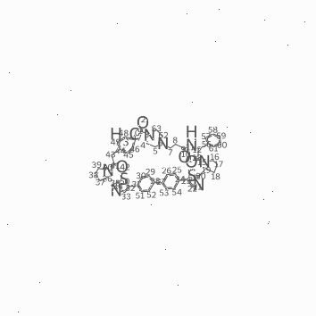 CC(=O)N1CCN(CCC(=O)N[C@@H](C(=O)N2CCC[C@H]2c2ncc(-c3ccc(-c4ccc(-c5cnc([C@@H]6CCCN6C(=O)Cc6ccccc6)s5)cc4)cc3)s2)c2ccccc2)CC1